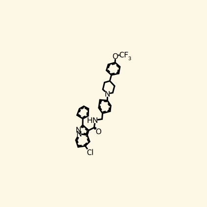 O=C(NCc1ccc(N2CCC(c3ccc(OC(F)(F)F)cc3)CC2)cc1)c1c(-c2ccccc2)nn2ccc(Cl)cc12